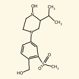 CC(C)C1CN(c2ccc(CO)c(S(C)(=O)=O)c2)CCN1O